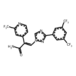 NC(=O)C(=Cn1cnc(-c2cc(C(F)(F)F)cc(C(F)(F)F)c2)n1)c1ccnc(C(F)(F)F)c1